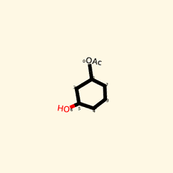 CC(=O)OC1CC[CH]C(O)C1